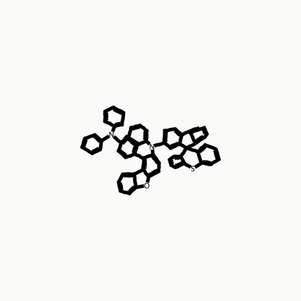 c1ccc(N(c2ccccc2)c2ccc(-c3c(N(c4ccccc4)c4ccc5c(c4)C4(c6ccccc6Sc6ccccc64)c4ccccc4-5)ccc4oc5ccccc5c34)cc2)cc1